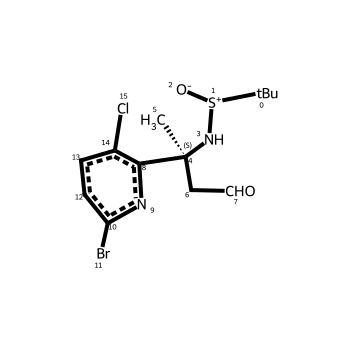 CC(C)(C)[S+]([O-])N[C@@](C)(CC=O)c1nc(Br)ccc1Cl